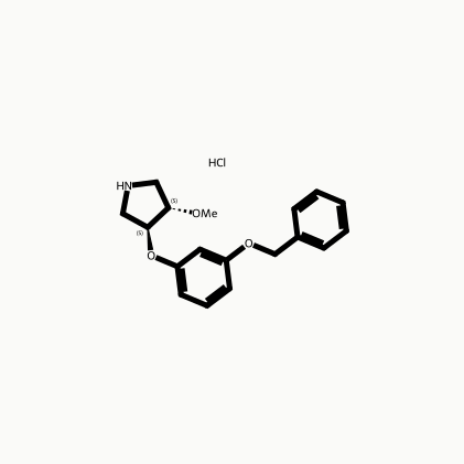 CO[C@H]1CNC[C@@H]1Oc1cccc(OCc2ccccc2)c1.Cl